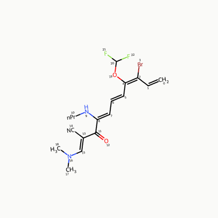 C=C\C(Br)=C(/C=C/C=C(\NCCC)C(=O)/C(C#N)=C/N(C)C)OC(F)F